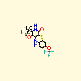 CC1(C)NC(=O)C2=C(Nc3ccc(OC(F)(F)F)cc3S2)C1=O